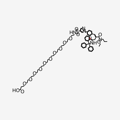 CCCN(OCC)C(=O)C1=Cc2ccc(-n3cc(S(=O)(=O)NCCOCCOCCOCCOCCOCCOCCOCCOCCOCCOCCC(=O)O)cn3)cc2N=C(NC(c2ccccc2)(c2ccccc2)c2ccccc2)C1